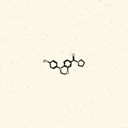 CC(C)C1C=CC(N2CCOc3cc(C(=O)N4CCCC4)ccc32)=CC1